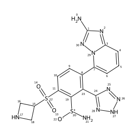 Nc1nc2cccc(-c3ccc(S(=O)(=O)C4CNC4)c([S+](N)[O-])c3-c3nn[nH]n3)n2n1